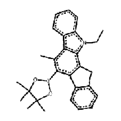 CCn1c2ccccc2c2c(C)c(B3OC(C)(C)C(C)(C)O3)c3c(c21)Cc1ccccc1-3